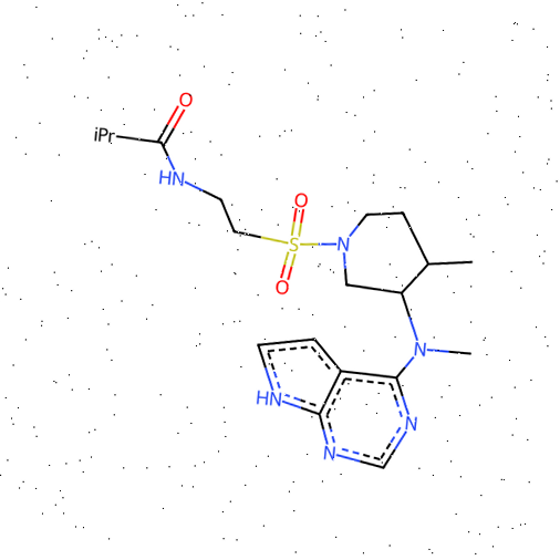 CC(C)C(=O)NCCS(=O)(=O)N1CCC(C)C(N(C)c2ncnc3[nH]ccc23)C1